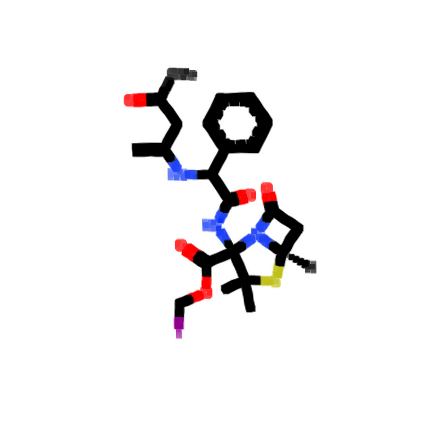 C=C(CC(=O)OC)NC(C(=O)N[C@@]1(C(=O)OCI)N2C(=O)C[C@H]2SC1(C)C)c1ccccc1